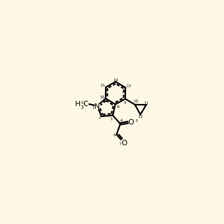 Cn1cc(C(=O)C=O)c2c(C3CC3)cccc21